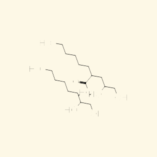 CCCCCCC(CC(O)CO)C(=O)O.CCCCCCC(O)CO